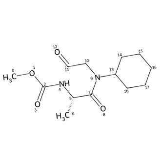 COC(=O)N[C@@H](C)C(=O)N(C[C]=O)C1CCCCC1